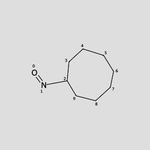 O=NC1CCCCCCC1